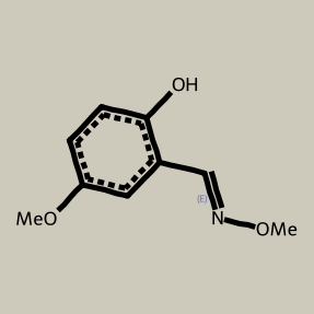 CO/N=C/c1cc(OC)ccc1O